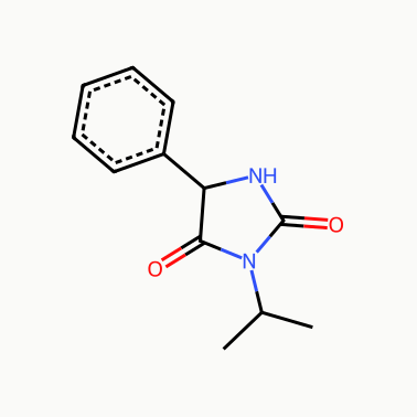 CC(C)N1C(=O)NC(c2ccccc2)C1=O